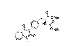 COC(=O)[C@H](Cc1ccc(-n2c(=O)c3ccncc3n(C)c2=O)nc1)NC(=O)OC(C)(C)C